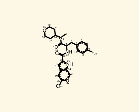 CN(C(=O)C(Cc1ccc(F)cc1)NC(=O)c1cc2cc(Cl)ncc2[nH]1)C1CCOCC1